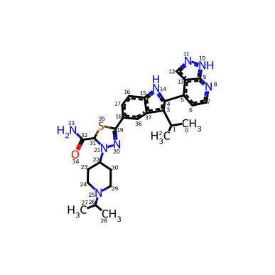 CC(C)c1c(-c2ccnc3[nH]ncc23)[nH]c2ccc(C3=NN(C4CCN(C(C)C)CC4)C(C(N)=O)S3)cc12